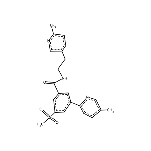 Cc1ccc(-c2cc(C(=O)NCCc3ccc(C(F)(F)F)nc3)cc(S(C)(=O)=O)c2)nc1